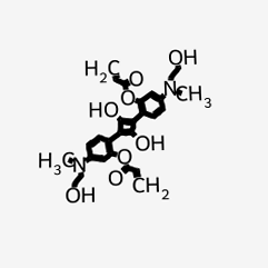 C=CC(=O)Oc1cc(N(C)CCO)ccc1C1=C(O)C(c2ccc(N(C)CCO)cc2OC(=O)C=C)=C1O